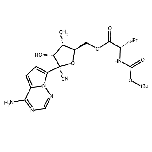 CC(C)[C@H](NC(=O)OC(C)(C)C)C(=O)OC[C@H]1O[C@@](C#N)(c2ccc3c(N)ncnn23)[C@H](O)[C@@H]1C